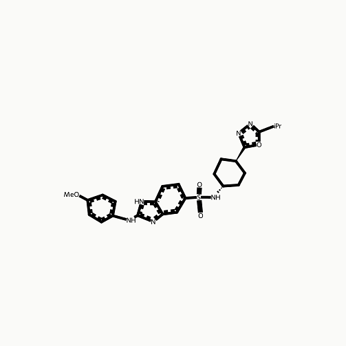 COc1ccc(Nc2nc3cc(S(=O)(=O)N[C@H]4CC[C@H](c5nnc(C(C)C)o5)CC4)ccc3[nH]2)cc1